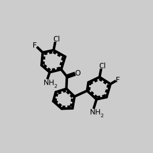 Nc1cc(F)c(Cl)cc1C(=O)c1ccccc1-c1cc(Cl)c(F)cc1N